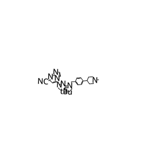 CN1CCC(c2ccc(CN3CCS/C3=N\N(CC(C)(C)C)c3cc(C#N)nc4nccn34)cc2)CC1